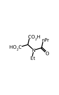 CCCC(=O)N(CC)C(C(=O)O)C(=O)O